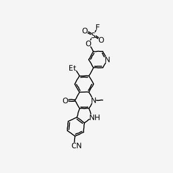 CCc1cc2c(=O)c3c4ccc(C#N)cc4[nH]c3n(C)c2cc1-c1cncc(OS(=O)(=O)F)c1